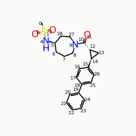 CS(=O)(=O)N[C@@H]1CCCN(C(=O)[C@@H]2C[C@H]2c2ccc(-c3ccccc3)cc2)CC1